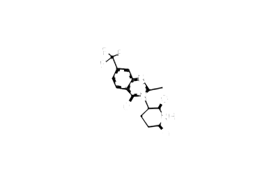 Cc1nc2cc(C(F)(F)F)ccc2c(=O)n1C1CCC(=O)NC1=O